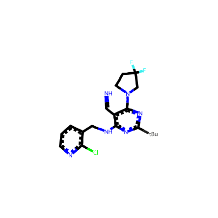 CC(C)(C)c1nc(NCc2cccnc2Cl)c(C=N)c(N2CCC(F)(F)C2)n1